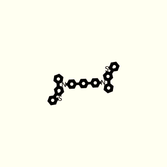 c1ccc2c(c1)sc1cc3c(cc12)c1ccccc1n3-c1ccc(-c2ccc(-c3ccc(-n4c5ccccc5c5cc6c(cc54)sc4ccccc46)cc3)cc2)cc1